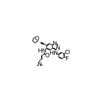 CN(C)CC=CC(=O)Nc1cc2c(Nc3ccc(F)c(Cl)c3)ncnc2cc1C#C[C@@H]1CCCO1